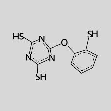 Sc1nc(S)nc(Oc2ccccc2S)n1